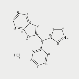 Cl.c1ccc(C(c2cc3ccccc3o2)n2ccnc2)cc1